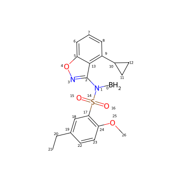 BN(c1noc2cccc(C3CC3)c12)S(=O)(=O)c1cc(CC)ccc1OC